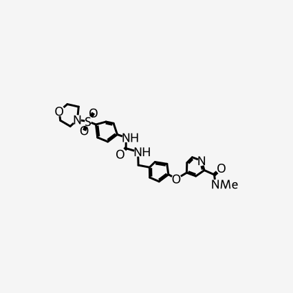 CNC(=O)c1cc(Oc2ccc(CNC(=O)Nc3ccc(S(=O)(=O)N4CCOCC4)cc3)cc2)ccn1